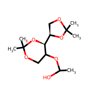 CC(O)OC1COC(C)(C)O[C@H]1[C@H]1COC(C)(C)O1